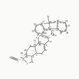 C#C[C@H]1CCC2C3CC=C4C[C@@H](O[Si](c5ccccc5)(c5ccccc5)C(C)(C)C)CC[C@]4(C)C3CC[C@@]21C